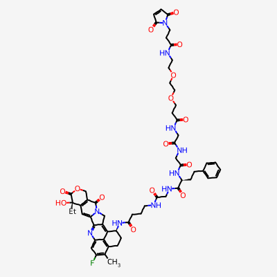 CC[C@@]1(O)C(=O)OCc2c1cc1n(c2=O)Cc2c-1nc1cc(F)c(C)c3c1c2[C@@H](NC(=O)CCCNC(=O)CNC(=O)[C@H](CCc1ccccc1)NC(=O)CNC(=O)CNC(=O)CCOCCOCCNC(=O)CCN1C(=O)C=CC1=O)CC3